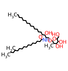 C=C(CCC)CCCCCCCCCCCC(=O)NC(COC1OC(CO)C(O)C(O)C1C)C(O)CCCCCCCCCCCCCCC